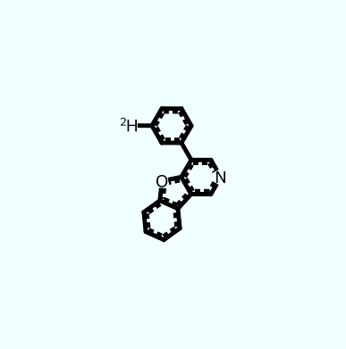 [2H]c1cccc(-c2cncc3c2oc2ccccc23)c1